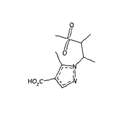 Cc1c(C(=O)O)cnn1C(C)C(C)S(C)(=O)=O